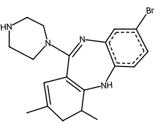 CC1=CC2=C(Nc3ccc(Br)cc3N=C2N2CCNCC2)C(C)C1